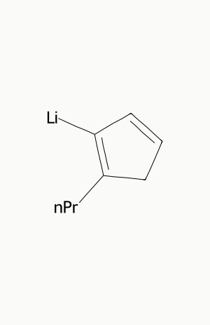 [Li][C]1=C(CCC)CC=C1